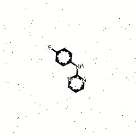 Fc1ccc(Nc2ncccn2)cc1